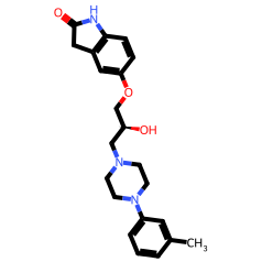 Cc1cccc(N2CCN(C[C@H](O)COc3ccc4c(c3)CC(=O)N4)CC2)c1